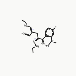 CCN/C=C(\C=N)C/C(=N/NCC)C(=N)c1ccc(F)cc1[C@@H](C)O